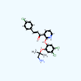 CC(C)(CN)Oc1cc(Cl)c(Cl)cc1Oc1ncccc1C(=O)C=Cc1ccc(Cl)cc1